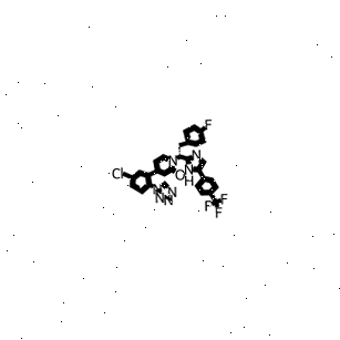 O=c1cc(-c2cc(Cl)ccc2-n2cnnn2)ccn1[C@H](Cc1ccc(F)cc1)c1ncc(-c2ccc(C(F)(F)F)cc2)[nH]1